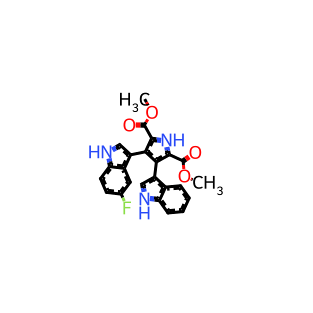 COC(=O)c1[nH]c(C(=O)OC)c(-c2c[nH]c3ccc(F)cc23)c1-c1c[nH]c2ccccc12